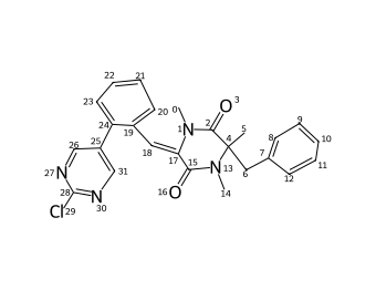 CN1C(=O)C(C)(Cc2ccccc2)N(C)C(=O)C1=Cc1ccccc1-c1cnc(Cl)nc1